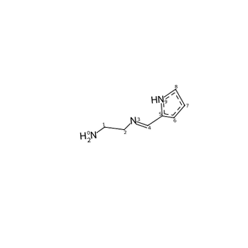 NCCN=Cc1ccc[nH]1